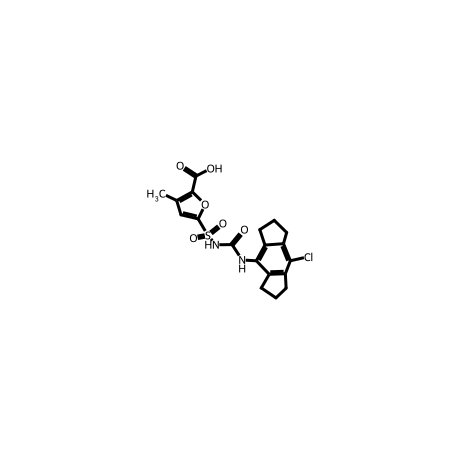 Cc1cc(S(=O)(=O)NC(=O)Nc2c3c(c(Cl)c4c2CCC4)CCC3)oc1C(=O)O